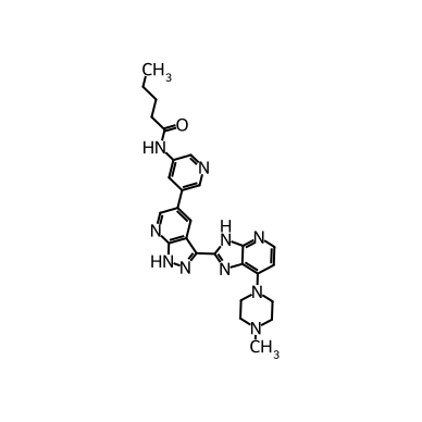 CCCCC(=O)Nc1cncc(-c2cnc3[nH]nc(-c4nc5c(N6CCN(C)CC6)ccnc5[nH]4)c3c2)c1